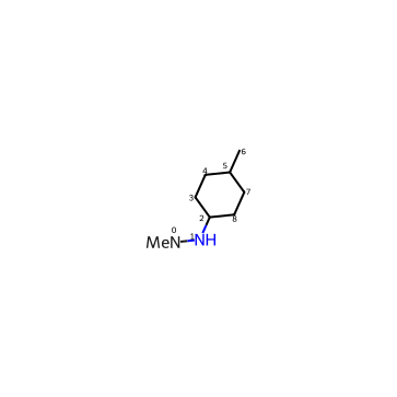 CNNC1CCC(C)CC1